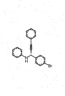 Brc1ccc([C@H](C#Cc2ccccc2)Nc2ccccc2)cc1